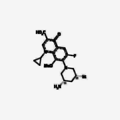 CC[C@@H]1C[C@H](N)CN(c2c(F)cc3c(=O)c(C(=O)O)cn(C4CC4)c3c2OC)C1